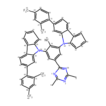 Cc1nc(C)nc(-c2cc(-n3c4ccccc4c4ccc(-c5ccc(C(F)(F)F)cc5C(F)(F)F)cc43)c(C#N)c(-n3c4ccccc4c4ccc(-c5ccc(C(F)(F)F)cc5C(F)(F)F)cc43)c2)n1